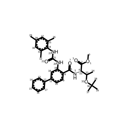 COC(=O)[C@@H](NC(=O)c1ccc(-c2ccccc2)cc1NC(=O)Nc1c(C)cc(C)cc1C)C(C)OC(C)(C)C